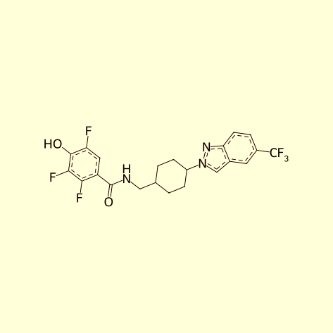 O=C(NCC1CCC(n2cc3cc(C(F)(F)F)ccc3n2)CC1)c1cc(F)c(O)c(F)c1F